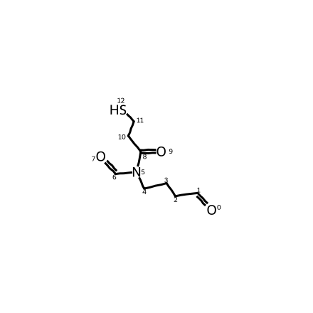 O=CCCCN(C=O)C(=O)CCS